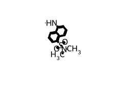 CN(C)S(=O)(=O)c1cccc2c([NH])cccc12